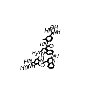 Cc1cc(C(=N)NO)ccc1NC(=O)c1cc(N)nc2cc(Nc3cc(C(=O)Nc4c(C)cc(C(=N)NO)cc4C)c4ccccc4n3)ccc12